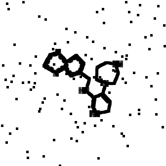 C1=C(NCc2ccc3nccnc3c2)C(N2CCCNCC2)=CCN1